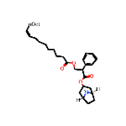 CCCCCCCC/C=C\CCCCCCCC(=O)OCC(C(=O)O[C@H]1C[C@H]2CC[C@@H](C1)N2C)c1ccccc1